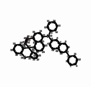 c1ccc(-c2ccc3cc(N(c4ccccc4)c4ccc5c6c(cccc46)C4(c6ccccc6Sc6ccccc64)c4ccccc4-5)ccc3c2)cc1